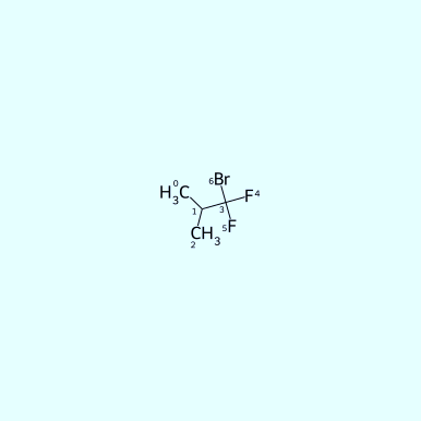 CC(C)C(F)(F)Br